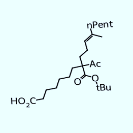 CCCCC/C(C)=C/CCC(CCCCCCC(=O)O)(C(C)=O)C(=O)OC(C)(C)C